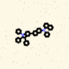 c1ccc(-c2c(-c3ccccc3)n(-c3ccccc3)c3ccc(-c4ccc5cc(N(c6ccccc6)c6cccc7ccccc67)ccc5c4)cc23)cc1